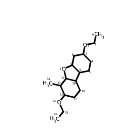 CCOC1CCC2C(C1)OC1C(C)C(OCC)CCC21